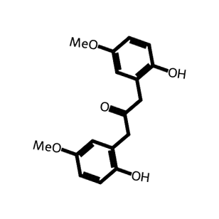 COc1ccc(O)c(CC(=O)Cc2cc(OC)ccc2O)c1